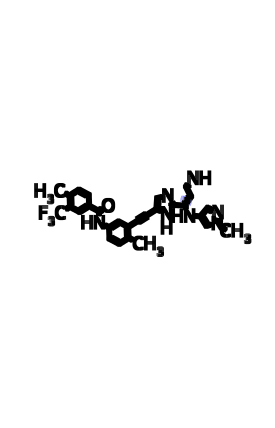 Cc1ccc(NC(=O)c2ccc(C)c(C(F)(F)F)c2)cc1C#Cc1cnc(/C(=C\C=N)Nc2cnn(C)c2)[nH]1